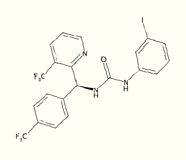 O=C(Nc1cccc(I)c1)N[C@@H](c1ccc(C(F)(F)F)cc1)c1ncccc1C(F)(F)F